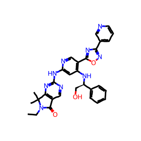 CCN1C(=O)c2cnc(Nc3cc(N[C@H](CO)c4ccccc4)c(-c4nc(-c5cccnc5)no4)cn3)nc2C1(C)C